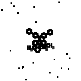 Cc1cc(-c2cc(-c3ccccc3)ccc2Nc2ccc(-c3ccccc3)cc2)c2c(c1)N1c3c(cccc3C3(C)CCCCC13C)B2